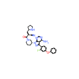 N#CC(=CC1CCCN1)C(=O)N1CCC[C@@H](n2nc(-c3ccc(Oc4ccccc4)cc3F)c3c(N)ncnc32)C1